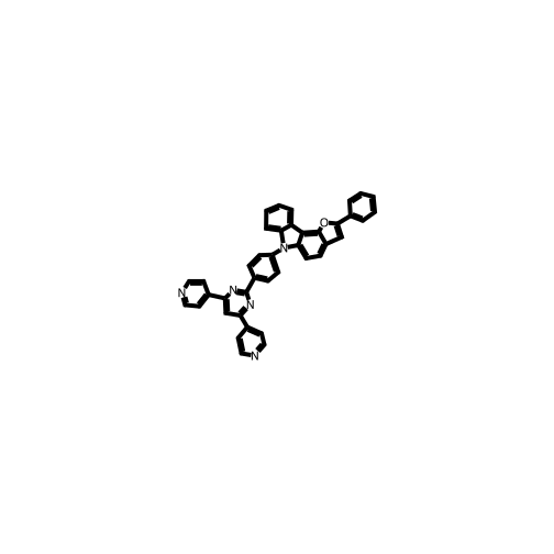 c1ccc(-c2cc3ccc4c(c5ccccc5n4-c4ccc(-c5nc(-c6ccncc6)cc(-c6ccncc6)n5)cc4)c3o2)cc1